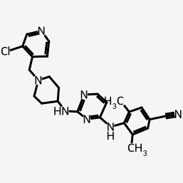 Cc1cc(C#N)cc(C)c1Nc1ccnc(NC2CCN(Cc3ccncc3Cl)CC2)n1